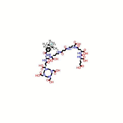 CC(C)(C)[Si](F)(c1ccc(C(=O)NC[C@@H](NC(=O)CC[C@@H](C(=O)O)N2CCN(CC(=O)O)CCN(CC(=O)O)CCN(CC(=O)O)CC2)C(=O)N[C@H](CCCCNC(=O)CCC(=O)NCCC[C@@H](NC(=O)CC[C@H](NC(=O)N[C@@H](CCCC(=O)O)C(=O)O)C(=O)O)C(=O)O)C(=O)O)cc1)C(C)(C)C